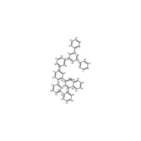 c1ccc(-c2cc(-c3ccccc3)cc(-c3cccc(-c4cccc(-c5cc(-c6ccccc6-c6ccccc6)c6ccccc6n5)c4)c3)c2)cc1